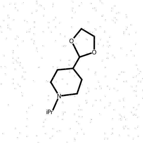 CC(C)N1CCC(C2OCCO2)CC1